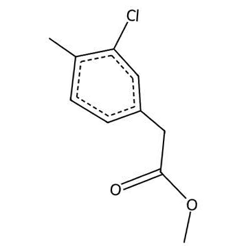 COC(=O)Cc1ccc(C)c(Cl)c1